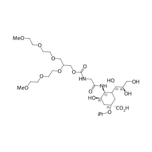 COCCOCCOCC(COC(=O)NCC(=O)N[C@H]1C([C@H](O)[C@H](O)CO)C[C@](OC(C)C)(C(=O)O)C[C@H]1O)OCCOCCOC